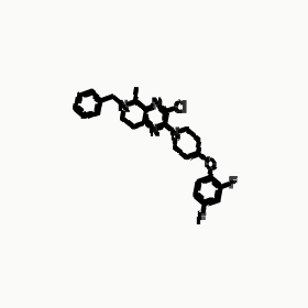 CC1c2nc(Cl)c(N3CCC(Oc4ccc(F)cc4F)CC3)nc2CCN1Cc1ccccc1